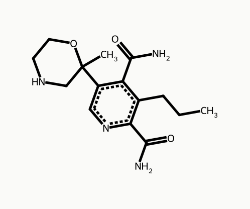 CCCc1c(C(N)=O)ncc(C2(C)CNCCO2)c1C(N)=O